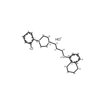 Cl.Clc1ccccc1N1CCN(CCCOc2cccc3c2CCCC3)CC1